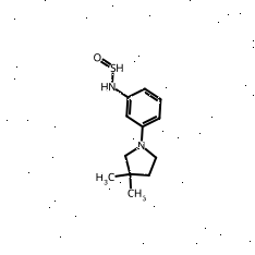 CC1(C)CCN(c2cccc(N[SH]=O)c2)C1